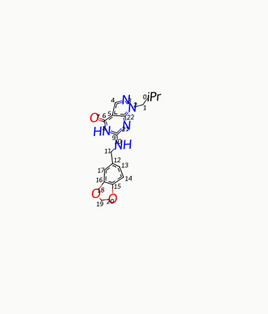 CC(C)Cn1ncc2c(=O)[nH]c(NCc3ccc4c(c3)OCO4)nc21